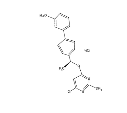 COc1cccc(-c2ccc([C@@H](Oc3cc(Cl)nc(N)n3)C(F)(F)F)cc2)c1.Cl